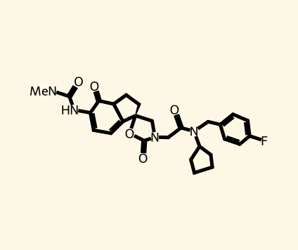 CNC(=O)NC1=CC=C2C(CC[C@]23CN(CC(=O)N(Cc2ccc(F)cc2)C2CCCC2)C(=O)O3)C1=O